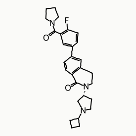 O=C(c1cc(-c2ccc3c(c2)CCN([C@@H]2CCN(C4CCC4)C2)C3=O)ccc1F)N1CCCC1